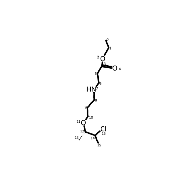 CCOC(=O)CCNCCCO[C@@H](C)C(C)Cl